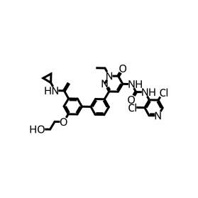 C=C(NC1CC1)c1cc(OCCO)cc(-c2cccc(-c3cc(NC(=O)Nc4c(Cl)cncc4Cl)c(=O)n(CC)n3)c2)c1